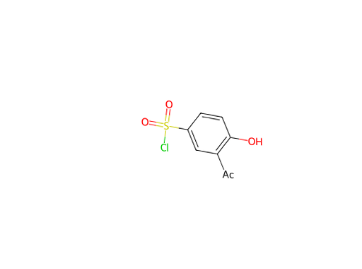 CC(=O)c1cc(S(=O)(=O)Cl)ccc1O